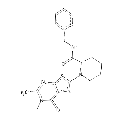 Cn1c(C(F)(F)F)nc2sc(N3CCCCC3C(=O)NCc3ccccc3)nc2c1=O